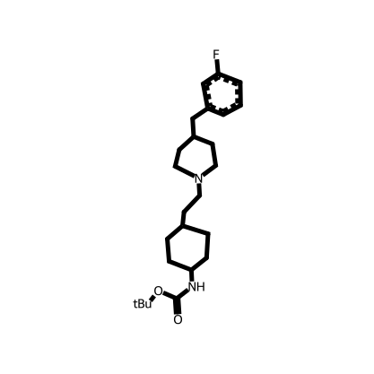 CC(C)(C)OC(=O)NC1CCC(CCN2CCC(Cc3cccc(F)c3)CC2)CC1